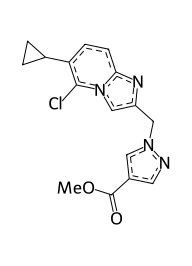 COC(=O)c1cnn(Cc2cn3c(Cl)c(C4CC4)ccc3n2)c1